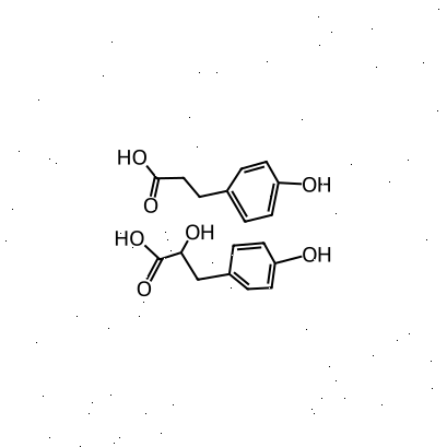 O=C(O)C(O)Cc1ccc(O)cc1.O=C(O)CCc1ccc(O)cc1